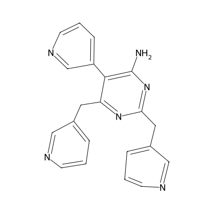 Nc1nc(Cc2cccnc2)nc(Cc2cccnc2)c1-c1cccnc1